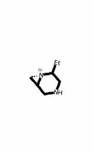 CCC1CNCC2C[N@]12